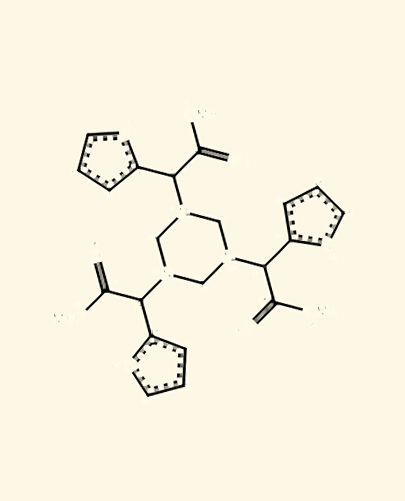 COC(=O)C(c1cccs1)N1CN(C(C(=O)OC)c2cccs2)CN(C(C(=O)OC)c2cccs2)C1